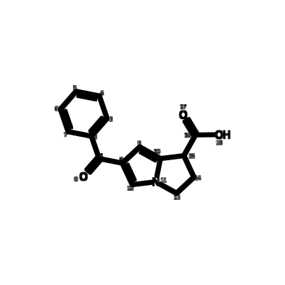 O=C(c1ccccc1)c1cc2n(c1)CCC2C(=O)O